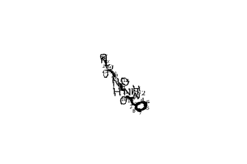 NC(Cc1ccccc1)C(=O)NCC(=O)NCC(=O)OCCN=O